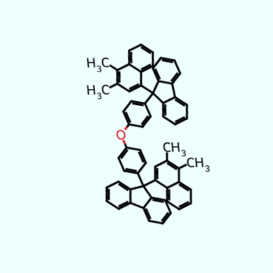 Cc1cc(C2(c3ccc(Oc4ccc(C5(c6cc(C)c(C)c7ccccc67)c6ccccc6-c6ccccc65)cc4)cc3)c3ccccc3-c3ccccc32)c2ccccc2c1C